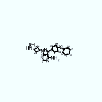 Nc1ncnc2c1c(-c1ccc(Oc3ccccc3)cc1)nn2[C@H]1C[C@@H](NP)C1